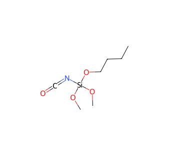 CCCCO[Si](N=C=O)(OC)OC